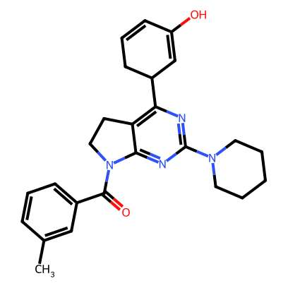 Cc1cccc(C(=O)N2CCc3c(C4C=C(O)C=CC4)nc(N4CCCCC4)nc32)c1